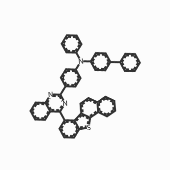 c1ccc(-c2ccc(N(c3ccccc3)c3ccc(-c4nc(-c5cccc6sc7c8ccccc8ccc7c56)c5ccccc5n4)cc3)cc2)cc1